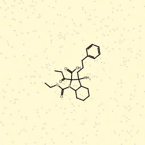 CCOC(=O)N1C2CCCCC2C(N)(CCCc2ccccc2)C1(C(=O)O)C(=O)CC